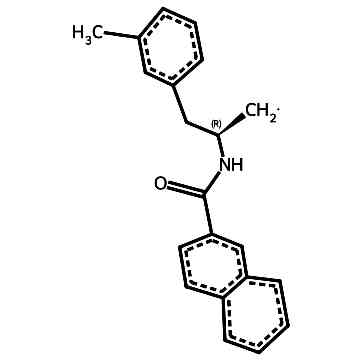 [CH2][C@H](Cc1cccc(C)c1)NC(=O)c1ccc2ccccc2c1